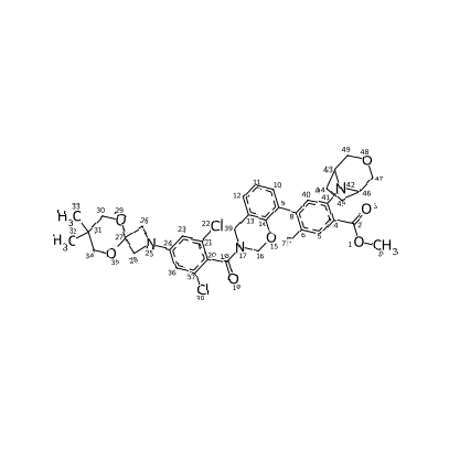 COC(=O)c1cc(F)c(-c2cccc3c2OCN(C(=O)c2c(Cl)cc(N4CC5(C4)OCC(C)(C)CO5)cc2Cl)C3)cc1N1C2CCC1COC2